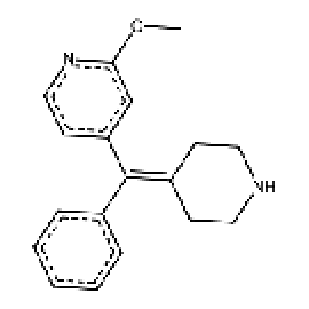 COc1cc(C(=C2CCNCC2)c2ccccc2)ccn1